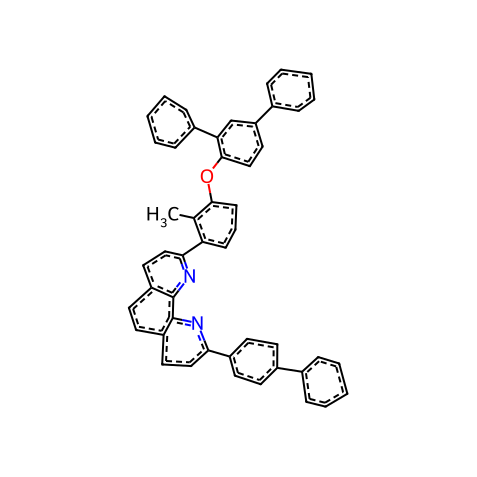 Cc1c(Oc2ccc(-c3ccccc3)cc2-c2ccccc2)cccc1-c1ccc2ccc3ccc(-c4ccc(-c5ccccc5)cc4)nc3c2n1